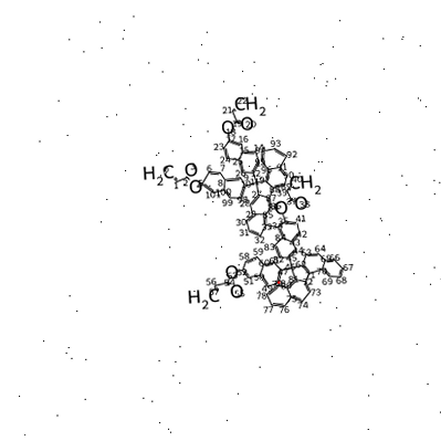 C=CC(=O)Oc1ccc2cc(C3(c4ccc5cc(OC(=O)C=C)ccc5c4)c4cc5cccc(-c6c(OC(=O)C=C)ccc7cc(C8(c9ccc%10cc(OC(=O)C=C)ccc%10c9)c9ccc%10ccccc%10c9-c9ccc%10ccccc%10c98)ccc67)c5cc4-c4ccc5ccccc5c43)ccc2c1